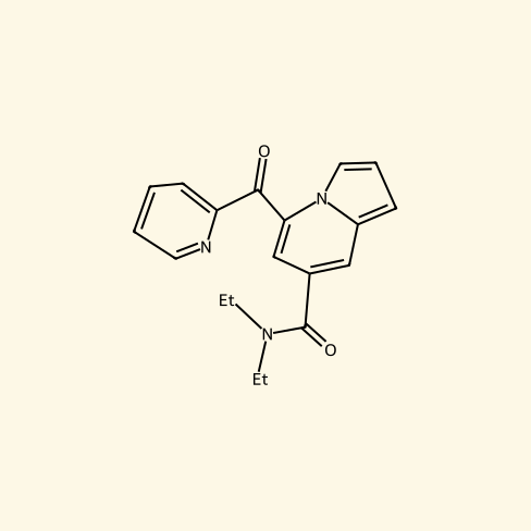 CCN(CC)C(=O)c1cc(C(=O)c2ccccn2)n2cccc2c1